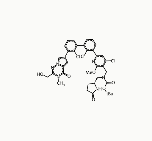 COc1nc(-c2cccc(-c3cccc(-c4cc5c(=O)n(C)c(CO)nn5c4)c3Cl)c2Cl)cc(Cl)c1CN(C[C@@H]1CCC(=O)N1)C(=O)OC(C)(C)C